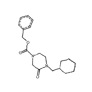 O=C1CN(C(=O)OCc2ccccc2)CCN1CC1CCCCC1